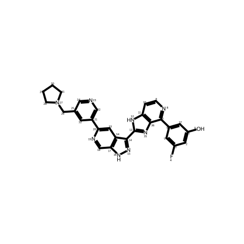 Oc1cc(F)cc(-c2nccc3[nH]c(-c4n[nH]c5cnc(-c6cncc(CN7CCCC7)c6)cc45)nc23)c1